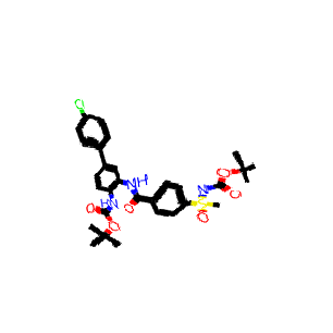 CC(C)(C)OC(=O)N=S(C)(=O)c1ccc(C(=O)Nc2cc(-c3ccc(Cl)cc3)ccc2NC(=O)OC(C)(C)C)cc1